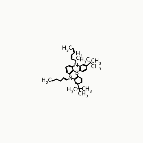 C=CCC/C=C/N1c2cc(C(C)(C)C)ccc2B2c3ccc(C(C)(C)C)cc3N(C(C)/C=C\C=C/C)c3cccc1c32